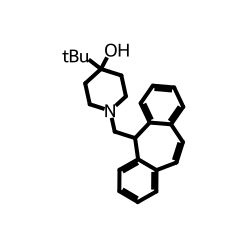 CC(C)(C)C1(O)CCN(CC2c3ccccc3C=Cc3ccccc32)CC1